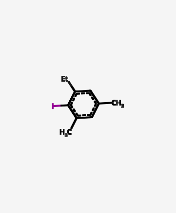 CCc1cc(C)cc(C)c1I